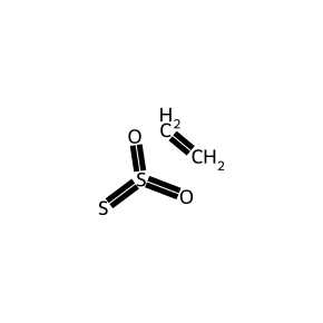 C=C.O=S(=O)=S